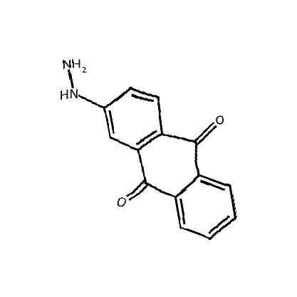 NNc1ccc2c(c1)C(=O)c1ccccc1C2=O